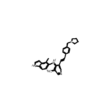 Cc1c(Nc2c(C#N)cncc2C=Cc2ccc(CN3CCCC3)cc2)ccc2[nH]ccc12